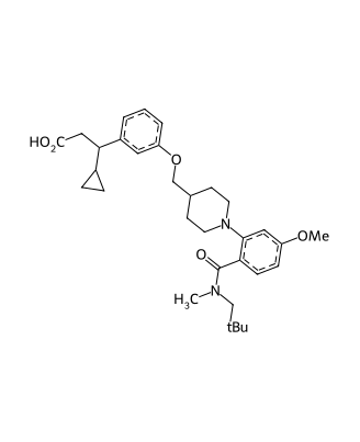 COc1ccc(C(=O)N(C)CC(C)(C)C)c(N2CCC(COc3cccc(C(CC(=O)O)C4CC4)c3)CC2)c1